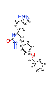 O=c1nc(-c2ccc3[nH]ncc3c2)cc(-c2ccc(OCc3ccccc3)cc2)[nH]1